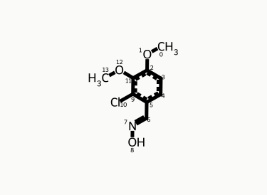 COc1ccc(/C=N/O)c(Cl)c1OC